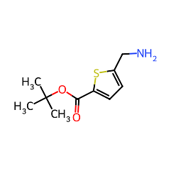 CC(C)(C)OC(=O)c1ccc(CN)s1